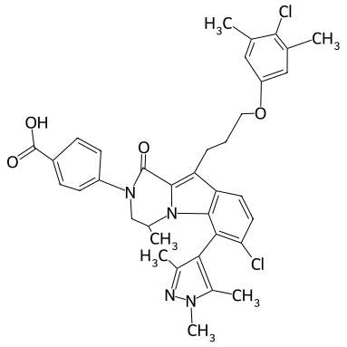 Cc1cc(OCCCc2c3n(c4c(-c5c(C)nn(C)c5C)c(Cl)ccc24)C(C)CN(c2ccc(C(=O)O)cc2)C3=O)cc(C)c1Cl